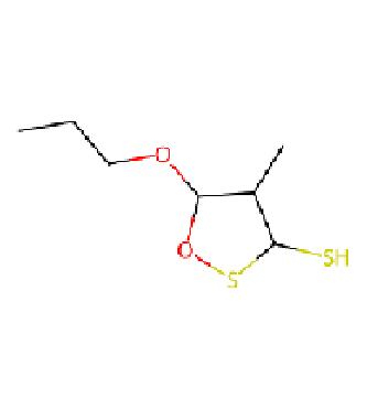 CCCOC1OSC(S)C1C